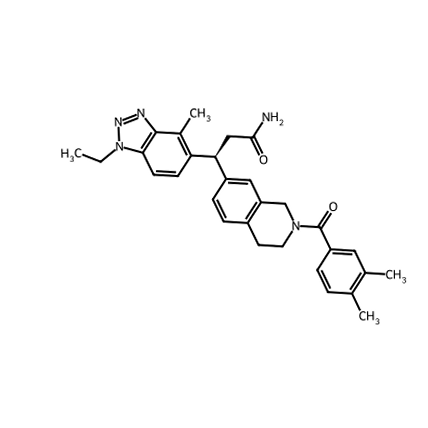 CCn1nnc2c(C)c([C@@H](CC(N)=O)c3ccc4c(c3)CN(C(=O)c3ccc(C)c(C)c3)CC4)ccc21